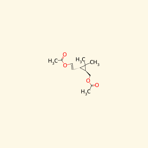 CC(=O)OC=C[C@H]1[C@H](COC(C)=O)C1(C)C